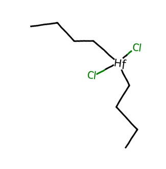 CCC[CH2][Hf]([Cl])([Cl])[CH2]CCC